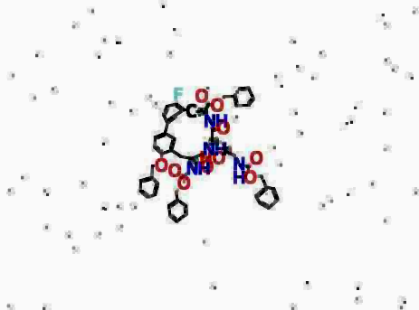 O=C(NC[C@H](O)C[C@@H]1NC(=O)[C@@H](NC(=O)OCc2ccccc2)Cc2cc(ccc2OCc2ccccc2)-c2ccc(F)c(c2)C[C@@H](C(=O)OCc2ccccc2)NC1=O)OCc1ccccc1